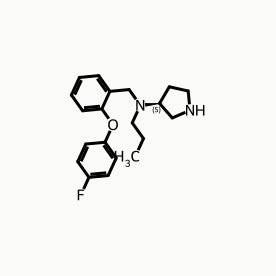 CCCN(Cc1ccccc1Oc1ccc(F)cc1)[C@H]1CCNC1